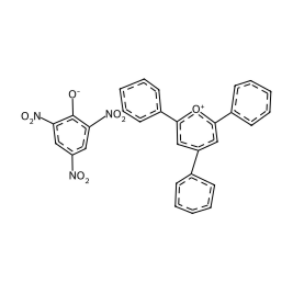 O=[N+]([O-])c1cc([N+](=O)[O-])c([O-])c([N+](=O)[O-])c1.c1ccc(-c2cc(-c3ccccc3)[o+]c(-c3ccccc3)c2)cc1